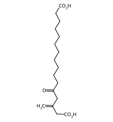 C=C(CC(=O)O)CC(=O)CCCCCCCCCCC(=O)O